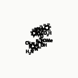 CO[C@H](COC(Cc1ccccc1)(C(=O)O)c1nnnn1C(C)(C)c1ccccc1)[C@@H](O)[C@H](F)n1cnc2c(N)nc(Cl)nc21